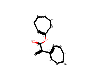 C=C(C(=O)OC1=CCCCCC1)C1=CCCCCC1